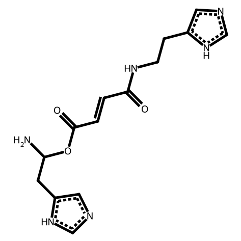 NC(Cc1cnc[nH]1)OC(=O)/C=C/C(=O)NCCc1cnc[nH]1